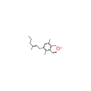 C=Cc1c(C)c(C/C=C(\C)CCC)cc(C)c1COC